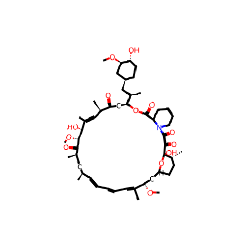 CO[C@H]1C[C@@H]2CC[C@@H](C)[C@@](O)(O2)C(=O)C(=O)N2CCCCC2C(=O)O[C@H]([C@H](C)C[C@@H]2CC[C@@H](O)[C@H](OC)C2)CC(=O)[C@H](C)/C=C(\C)[C@@H](O)[C@@H](OC)C(=O)[C@H](C)C[C@H](C)/C=C/C=C/C=C/1C